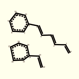 C=CC=CC=Cc1ccccc1.C=Cc1ccccc1